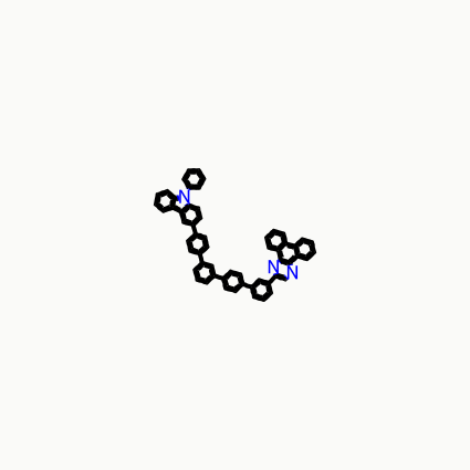 c1ccc(-n2c3ccccc3c3cc(-c4ccc(-c5cccc(-c6ccc(-c7cccc(-c8cnc9c%10ccccc%10c%10ccccc%10c9n8)c7)cc6)c5)cc4)ccc32)cc1